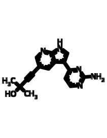 CC(C)(O)C#Cc1cnc2[nH]cc(-c3ccnc(N)n3)c2c1